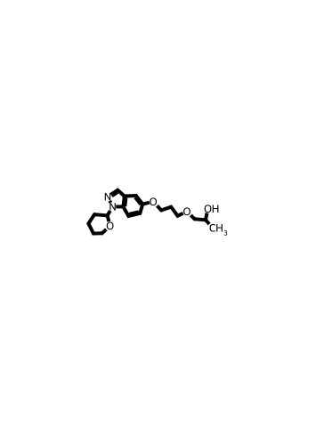 CC(O)COCCCOc1ccc2c(cnn2C2CCCCO2)c1